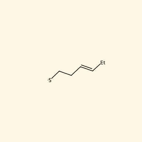 CCC=CCC[S]